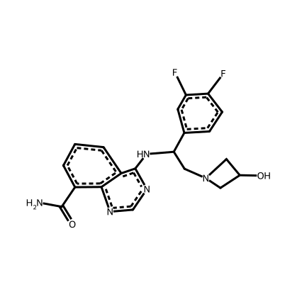 NC(=O)c1cccc2c(NC(CN3CC(O)C3)c3ccc(F)c(F)c3)ncnc12